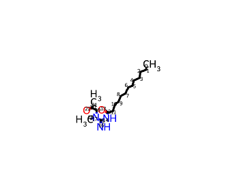 CCCCCCCCCCCCC(=O)NC(=N)N(C)CC(C)=O